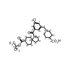 O=C(O)C1CCN(Cc2cc(Cl)cc(C(=O)N3CCCC34CCN(C(=O)OC(C(F)(F)F)C(F)(F)F)CC4)c2)CC1